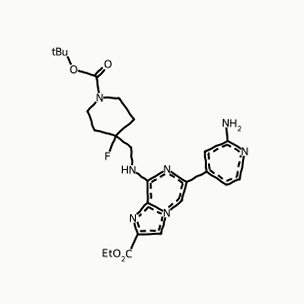 CCOC(=O)c1cn2cc(-c3ccnc(N)c3)nc(NCC3(F)CCN(C(=O)OC(C)(C)C)CC3)c2n1